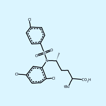 C[C@H](CCC(C(=O)O)C(C)(C)C)N(c1cc(Cl)ccc1Cl)S(=O)(=O)c1ccc(Cl)cc1